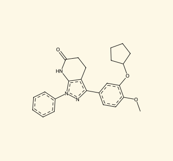 COc1ccc(-c2nn(-c3ccccc3)c3c2CCC(=O)N3)cc1OC1CCCC1